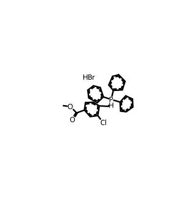 Br.COC(=O)c1ccc(C[PH](c2ccccc2)(c2ccccc2)c2ccccc2)c(Cl)c1